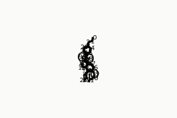 CCCc1ccc(S(=O)(=O)n2ccc3c4c(ccc32)OCCN(C)C4)cc1